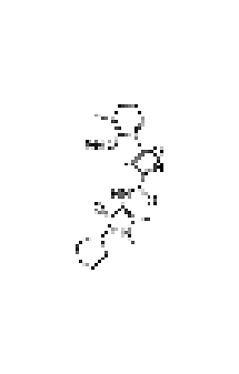 COc1c(C)cccc1-c1onc(C(=O)Nc2c(C)n(C)n(C3CCCCC3)c2=O)c1C